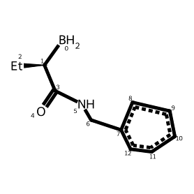 B[C@H](CC)C(=O)NCc1ccccc1